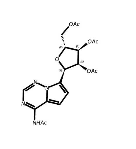 CC(=O)Nc1ncnn2c([C@H]3O[C@H](COC(C)=O)[C@@H](OC(C)=O)[C@H]3OC(C)=O)ccc12